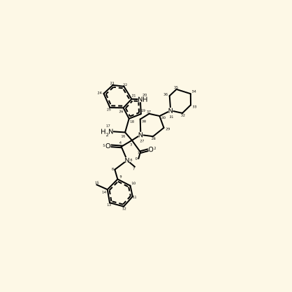 CC(=O)C(C(=O)N(C)Cc1ccccc1C)(C(N)c1c[nH]c2ccccc12)N1CCC(N2CCCCC2)CC1